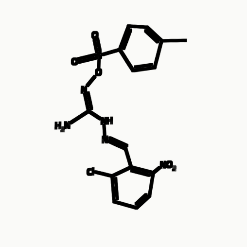 Cc1ccc(S(=O)(=O)ON=C(N)NN=Cc2c(Cl)cccc2[N+](=O)[O-])cc1